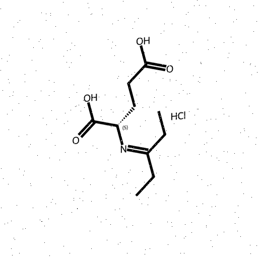 CCC(CC)=N[C@@H](CCC(=O)O)C(=O)O.Cl